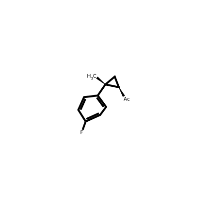 CC(=O)[C@@H]1C[C@@]1(C)c1ccc(F)cc1